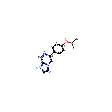 CC(C)Oc1ccc(-c2cn3ccnc3cn2)cc1